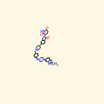 Cn1cc2ccc(N3CCN(Cc4ccc(CN5CCC(c6ccc7c(c6)CN(C6CCC(=O)NC6=O)C7=O)CC5)cc4)CC3)cc2n1